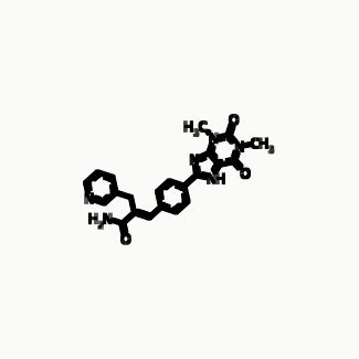 Cn1c(=O)c2[nH]c(-c3ccc(/C=C(\Cc4cccnc4)C(N)=O)cc3)nc2n(C)c1=O